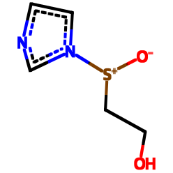 [O-][S+](CCO)n1ccnc1